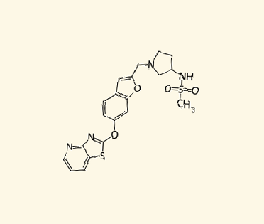 CS(=O)(=O)NC1CCN(Cc2cc3ccc(Oc4nc5ncccc5s4)cc3o2)C1